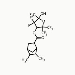 CC1C2CC(C(=O)OC3C(F)(F)C(O)(C(F)(F)F)OC3(C(F)(F)F)C(F)(F)F)C(C2)C1C